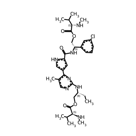 CC[C@H](COC(=O)[C@@H](NC)C(C)C)Nc1ncc(C)c(-c2c[nH]c(C(=O)N[C@H](COC(=O)[C@@H](NC)C(C)C)c3cccc(Cl)c3)c2)n1